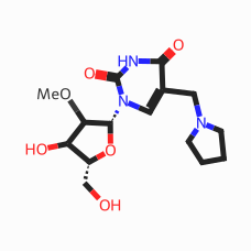 COC1C(O)[C@@H](CO)O[C@H]1n1cc(CN2CCCC2)c(=O)[nH]c1=O